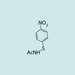 CC(=O)NSc1ccc([N+](=O)[O-])cc1